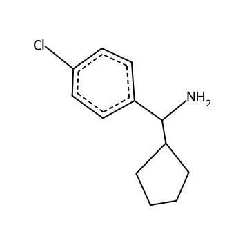 NC(c1ccc(Cl)cc1)C1CCCC1